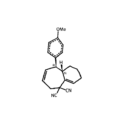 COc1ccc([C@@H]2C=CCC(C#N)(C#N)C3=CCCC[C@H]32)cc1